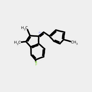 CC1=C(C)c2cc(F)ccc2/C1=C\c1ccc(C)cc1